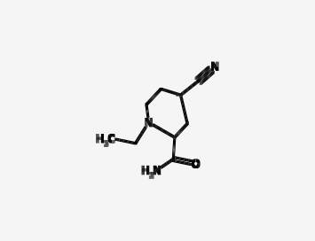 CCN1CC[C](C#N)CC1C(N)=O